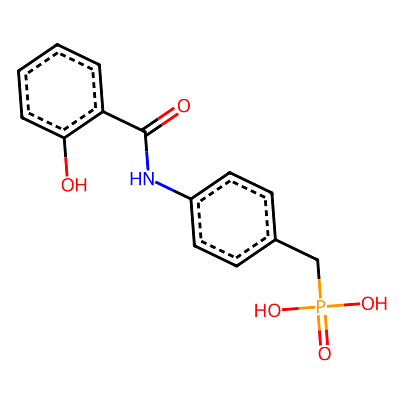 O=C(Nc1ccc(CP(=O)(O)O)cc1)c1ccccc1O